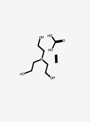 C=C.O=C(O)O.OCCN(CCO)CCO